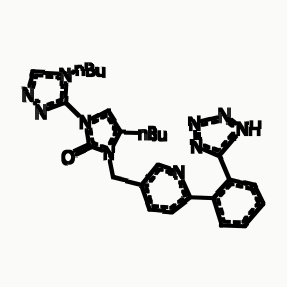 CCCCc1cn(-c2nncn2CCCC)c(=O)n1Cc1ccc(-c2ccccc2-c2nnn[nH]2)nc1